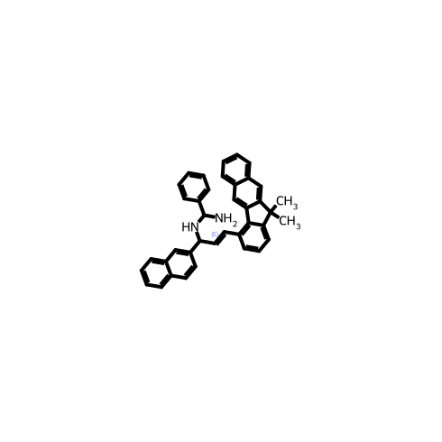 CC1(C)c2cc3ccccc3cc2-c2c(/C=C/C(NC(N)c3ccccc3)c3ccc4ccccc4c3)cccc21